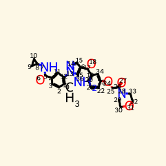 Cc1ccc(C(=O)NC2CC2)cc1-n1ncc(C(=O)c2cccc(OCC(=O)N3CCOCC3)c2)c1N